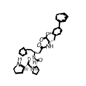 O=C(C[C@H](Cc1ccccc1)NC(=O)[C@@H]1CCCN1C(=O)[C@@H]1CCCN1)N[C@@H](Cc1ccc(-c2ccccc2)cc1)C(=O)O